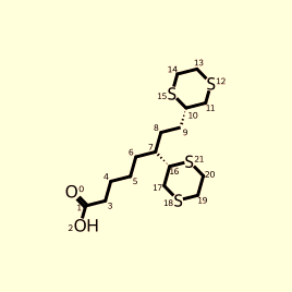 O=C(O)CCCCC(CC[C@H]1CSCCS1)[C@H]1CSCCS1